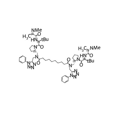 CN[C@@H](C)C(=O)N[C@H](C(=O)N1CCC[C@H]1CN(Cc1nnnn1-c1ccccc1)C(=O)CCCCCCCCC(=O)N(Cc1nnnn1-c1ccccc1)C[C@@H]1CCCN1C(=O)[C@@H](NC(=O)[C@H](C)NC)C(C)(C)C)C(C)(C)C